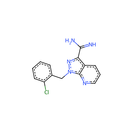 N=C(N)c1nn(Cc2ccccc2Cl)c2ncccc12